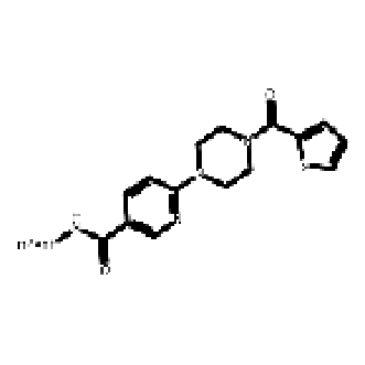 CCCCCNC(=O)c1ccc(N2CCN(C(=O)c3cccs3)CC2)nc1